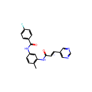 Cc1ccc(NC(=O)c2ccc(F)cc2)cc1NC(=O)/C=C/c1cncnc1